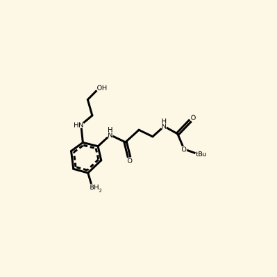 Bc1ccc(NCCO)c(NC(=O)CCNC(=O)OC(C)(C)C)c1